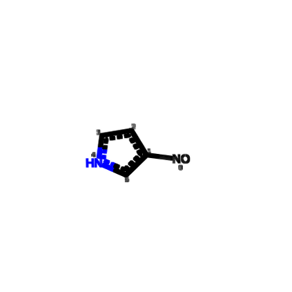 O=Nc1cc[nH]c1